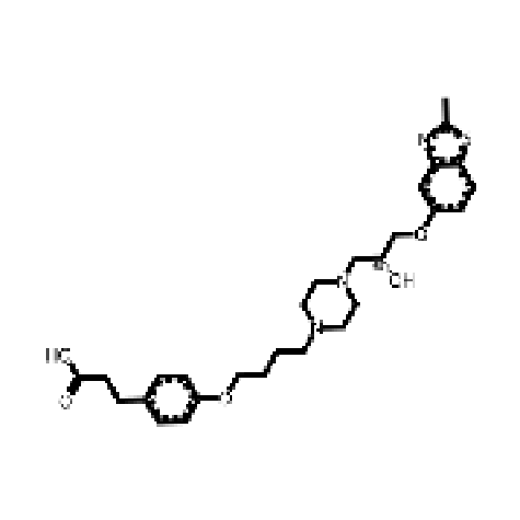 Cc1nc2cc(OC[C@H](O)CN3CCN(CCCCOc4ccc(CCC(=O)O)cc4)CC3)ccc2s1